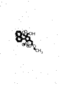 CCOC(=O)CC1CC(C(C)=O)(C(=O)O)C(c2cccc3ccccc23)C1[N+](=O)[O-]